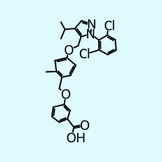 Cc1cc(OCc2c(C(C)C)cnn2-c2c(Cl)cccc2Cl)ccc1COc1cccc(C(=O)O)c1